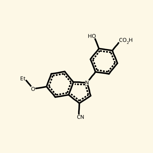 CCOc1ccc2c(c1)c(C#N)cn2-c1ccc(C(=O)O)c(O)c1